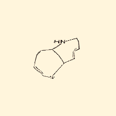 C1=CC2[N]C=CCC2NC1